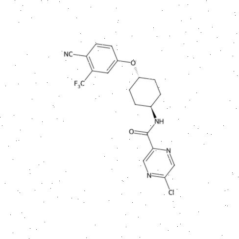 N#Cc1ccc(O[C@H]2CC[C@H](NC(=O)c3cnc(Cl)cn3)CC2)cc1C(F)(F)F